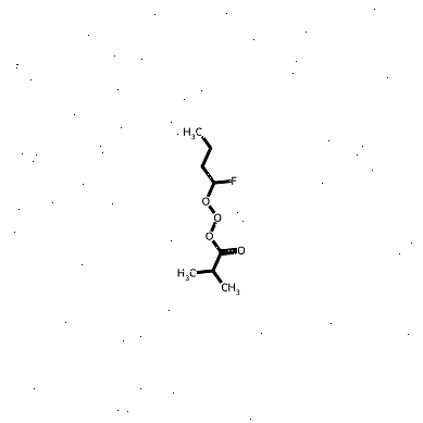 CCCC(F)OOOC(=O)C(C)C